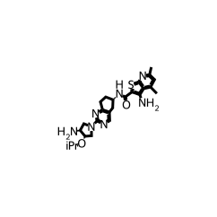 Cc1cc(C)c2c(N)c(C(=O)N[C@H]3CCc4nc(N5C[C@H](OC(C)C)[C@@H](N)C5)ncc4C3)sc2n1